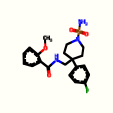 COc1ccccc1C(=O)NCC1(c2ccc(F)cc2)CCN(S(N)(=O)=O)CC1